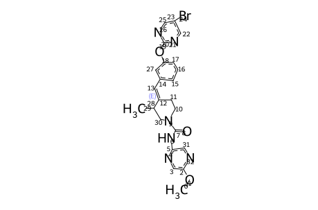 COc1cnc(NC(=O)N2CC/C(=C\c3cccc(Oc4ncc(Br)cn4)c3)C(C)C2)cn1